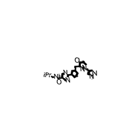 CC(C)CNC(=O)c1cnc(-c2cccc(Cc3nn(-c4cnn(C)c4)ccc3=O)c2)nc1